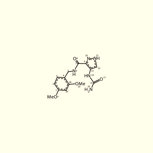 COc1ccc(CNC(=O)c2n[nH]cc2NC(N)=O)c(OC)c1